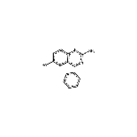 Nc1ncc2cc(O)ccc2n1.c1ccccc1